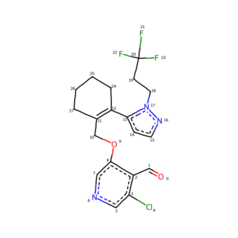 O=Cc1c(Cl)cncc1OCC1=C(c2ccnn2CCC(F)(F)F)CCCC1